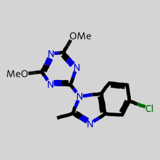 COc1nc(OC)nc(-n2c(C)nc3cc(Cl)ccc32)n1